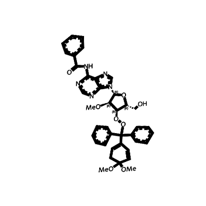 CO[C@@H]1[C@H](OOC(C2=CCC(OC)(OC)C=C2)(c2ccccc2)c2ccccc2)[C@@H](CO)O[C@H]1n1cnc2c(NC(=O)c3ccccc3)ncnc21